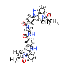 CCC(=O)N1c2ccccc2C(Nc2ccc(C(=O)NC3CN(C(=O)c4ccc(NC5CC(C)N(C(=O)CC)c6ccccc65)cc4)C3)cc2)CC1C